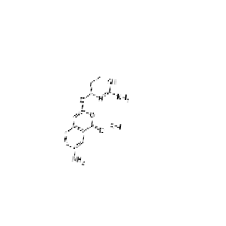 Br.CCC(N=C(N)S)Oc1cc2ccc(N)cc2c(=O)o1